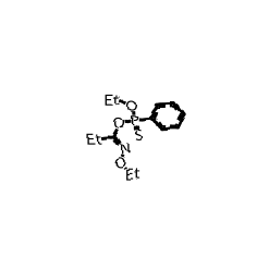 CCON=C(CC)OP(=S)(OCC)c1ccccc1